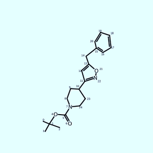 CC(C)(C)OC(=O)N1CCC(c2cc(Cc3ccccc3)on2)CC1